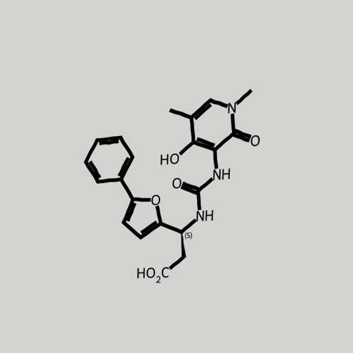 Cc1cn(C)c(=O)c(NC(=O)N[C@@H](CC(=O)O)c2ccc(-c3ccccc3)o2)c1O